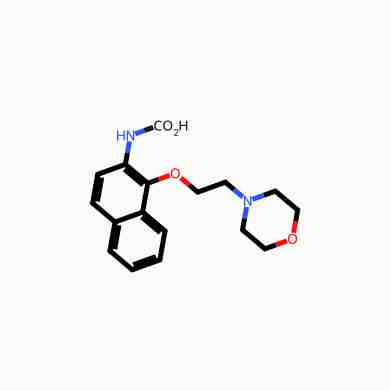 O=C(O)Nc1ccc2ccccc2c1OCCN1CCOCC1